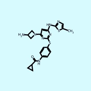 Cc1cnc(Nc2cc(N3CC(N)C3)nc(Sc3ccc(NC(=O)C4CC4)cc3)n2)s1